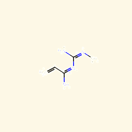 C=C/C(N)=N\C(N)=N/C